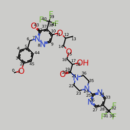 COc1ccc(Cn2ncc(OC(C)COCC(O)C(=O)N3CCN(c4ncc(C(F)(F)F)cn4)CC3)c(C(F)(F)F)c2=O)cc1